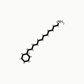 NCCCCCCCCCCCCC1CCCCC1